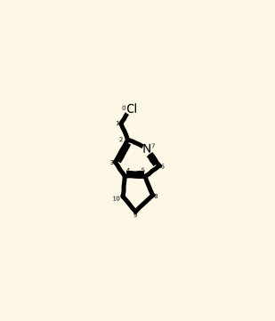 ClCc1cc2c(cn1)CCC2